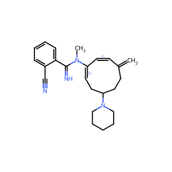 C=C1/C=C\C(N(C)C(=N)c2ccccc2C#N)=C/CC(N2CCCCC2)CC1